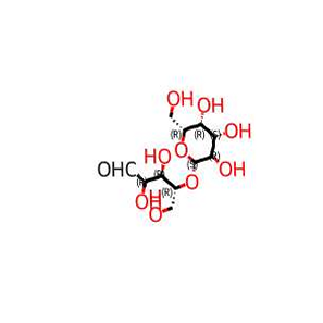 O=C[C@H](O)[C@@H](O)[C@@H](CO)O[C@@H]1O[C@H](CO)[C@H](O)[C@H](O)[C@H]1O